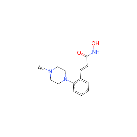 CC(=O)N1CCN(c2ccccc2C=CC(=O)NO)CC1